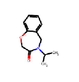 CC(C)N1Cc2ccccc2OCC1=O